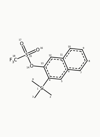 C[Si](C)(C)c1cc2ccccc2cc1OS(=O)(=O)C(F)(F)F